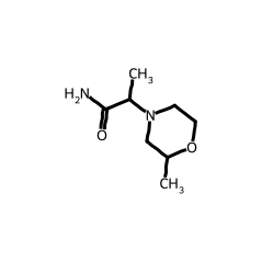 CC1CN(C(C)C(N)=O)CCO1